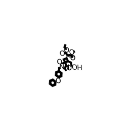 CCCC1(C(=O)NCc2ccc(Oc3ccccc3)cc2)CC([C@@H](C(=O)OC)C(=O)OCC)C1CC(=O)O